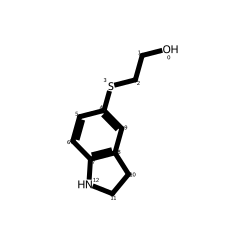 OCCSc1ccc2c(c1)CCN2